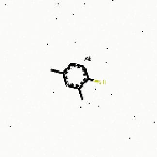 Cc1ccc(S)c(C)c1.[Al]